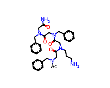 CC(=O)N(CC(=O)N(CCCN)CC(=O)N(CC(=O)N(CC(N)=O)Cc1ccccc1)Cc1ccccc1)Cc1ccccc1